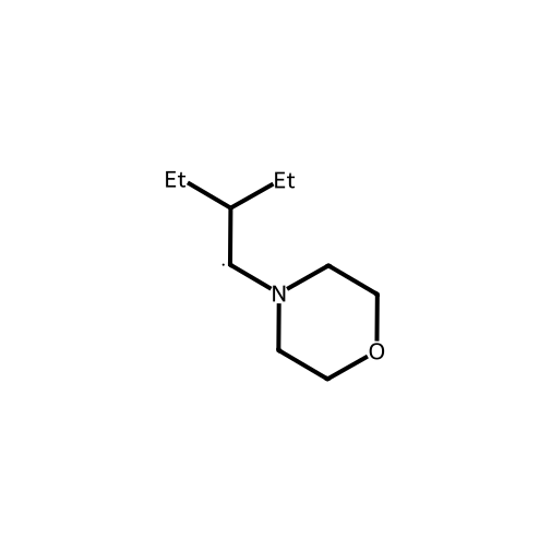 CCC([CH]N1CCOCC1)CC